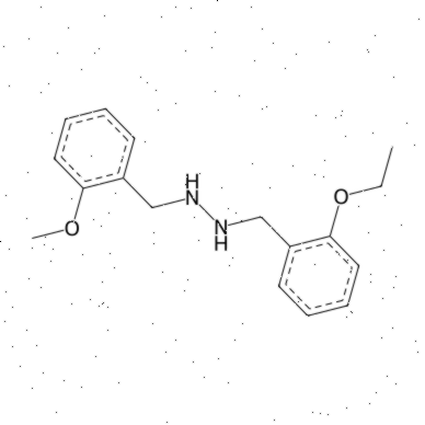 CCOc1ccccc1CNNCc1ccccc1OC